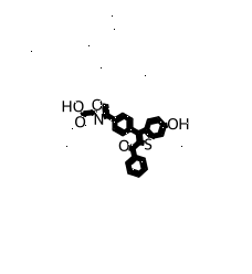 O=C(O)c1nc(-c2ccc(-c3c(C(=O)c4ccccc4)sc4cc(O)ccc34)cc2)co1